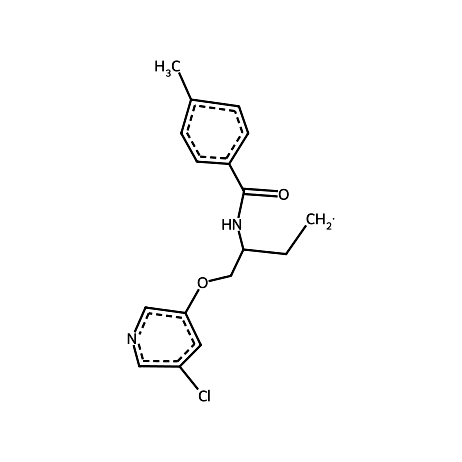 [CH2]CC(COc1cncc(Cl)c1)NC(=O)c1ccc(C)cc1